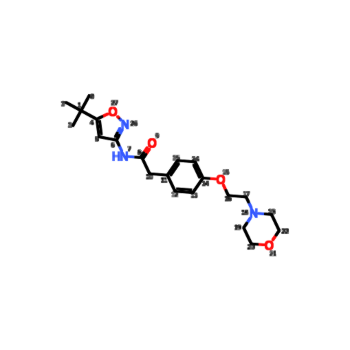 CC(C)(C)c1cc(NC(=O)Cc2ccc(OCCN3CCOCC3)cc2)no1